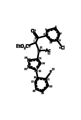 CCOC(=O)C(C(=O)c1cccc(Cl)c1)N(C(C)=O)c1cn(-c2ccccc2F)nn1